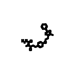 Cc1oc(-c2ccccc2)nc1CCOc1ccc(CCC(=O)N(C)C(N)=O)cc1